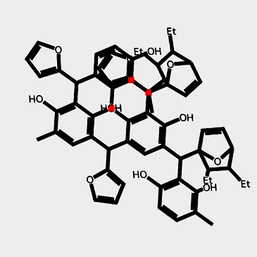 CCC1C2C=CC(C(C)c3c(O)ccc(C(c4ccco4)c4c(O)c(C)cc(C(c5ccco5)c5cc(C(c6c(O)ccc(C)c6O)C67C=CC(O6)C(CC)C7CC)c(O)c(C(C)c6ccco6)c5O)c4O)c3O)(O2)C1CC